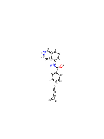 O=C(Nc1cccc2cnccc12)c1ccc(C#CC2CC2)cc1